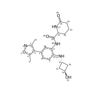 Cc1noc(C)c1-c1ccc(N[C@H]2C[C@H](O)C2)c(NC(=O)C2CCCC(=O)N2)c1